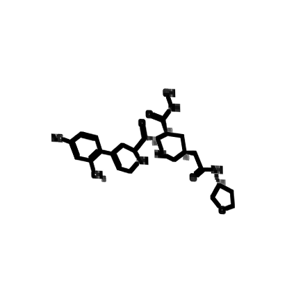 Cc1cc(C#N)ccc1C1=CCNC(C(=O)[C@H]2NC[C@H](CC(=O)N[C@@H]3CCOC3)C[C@@H]2C(=O)NO)C1